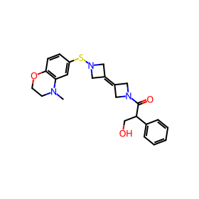 CN1CCOc2ccc(SN3CC(=C4CN(C(=O)C(CO)c5ccccc5)C4)C3)cc21